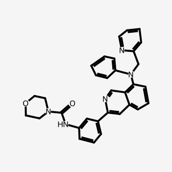 O=C(Nc1cccc(-c2cc3cccc(N(Cc4ccccn4)c4ccccc4)c3cn2)c1)N1CCOCC1